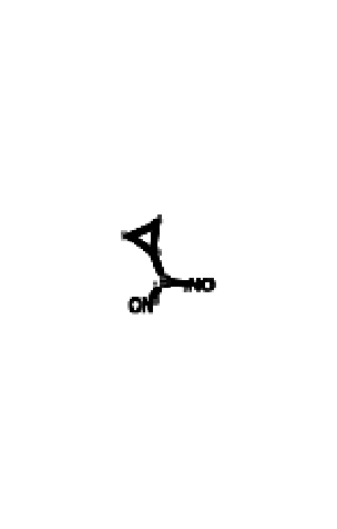 O=NB(N=O)C1CC1